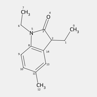 CCC1C(=O)N(CC)c2ccc(C)cc21